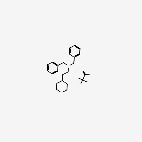 O=C(O)C(F)(F)F.c1ccc(CN(CCC2CCNCC2)Cc2ccccc2)cc1